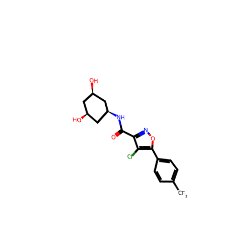 O=C(N[C@@H]1C[C@H](O)C[C@H](O)C1)c1noc(-c2ccc(C(F)(F)F)cc2)c1Cl